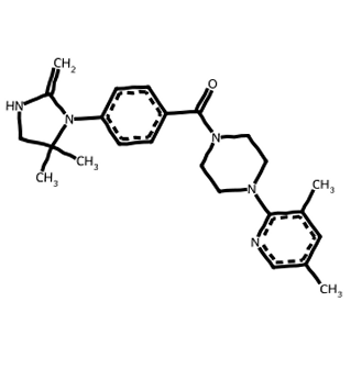 C=C1NCC(C)(C)N1c1ccc(C(=O)N2CCN(c3ncc(C)cc3C)CC2)cc1